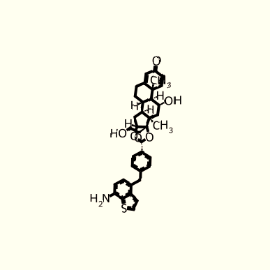 C[C@]12C=CC(=O)C=C1CC[C@@H]1[C@@H]2[C@@H](O)C[C@@]2(C)[C@H]1C[C@H]1O[C@@H](c3ccc(Cc4ccc(N)c5sccc45)cc3)O[C@]12C(=O)CO